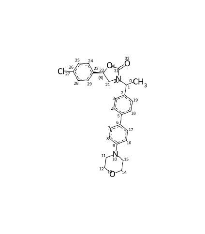 CC(c1ccc(-c2ccc(N3CCOCC3)cc2)cc1)N1C[C@@H](c2ccc(Cl)cc2)OC1=O